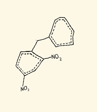 O=[N+]([O-])c1ccc([CH]c2ccccc2)c([N+](=O)[O-])c1